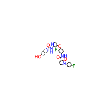 O=C(Nc1ccc(Oc2ccnc(NC(=O)N3CC4CC(O)CC4C3)c2)c(F)c1)c1cccn(-c2ccc(F)cc2)c1=O